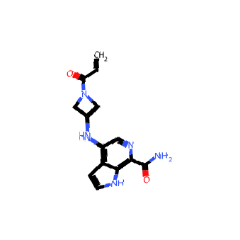 C=CC(=O)N1CC(Nc2cnc(C(N)=O)c3[nH]ccc23)C1